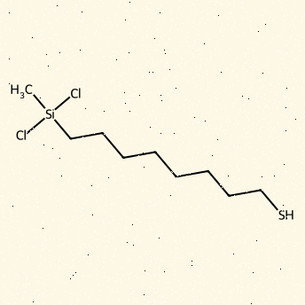 C[Si](Cl)(Cl)CCCCCCCCS